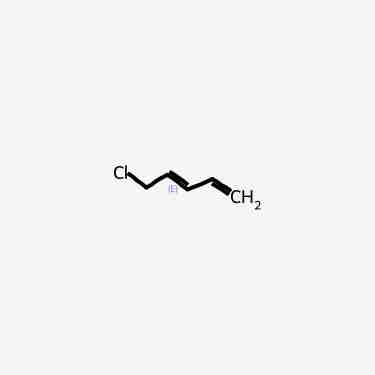 C=C/C=C/CCl